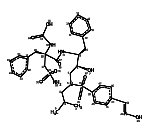 CC(C)CN(C[C@H](O)[C@H](Cc1ccccc1)NC(=O)[C@](Cc1ccccc1)(CS(N)(=O)=O)NC(=O)O)S(=O)(=O)c1ccc(C=NO)cc1